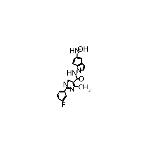 Cc1nc(-c2cccc(F)c2)ncc1C(=O)Nn1ccc2cc(NO)ccc21